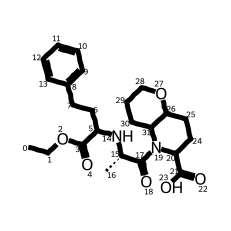 CCOC(=O)C(CCc1ccccc1)N[C@@H](C)C(=O)N1C(C(=O)O)CCC2OCCCC21